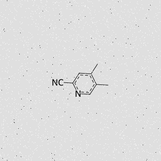 Cc1cnc(C#N)cc1C